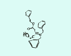 O=C(C[C@@H](C(=O)O)N(Cc1ccccc1)Cc1ccccc1)OCc1ccccc1